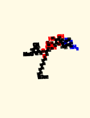 CCCCCCCCCCCCCCCCCCOC[C@H](COP(=O)(O)OC[C@H]1O[C@@](C)(c2ccc3c(N)ncnn23)[C@H](O)[C@@H]1O)OCc1cc(C#N)cc(OC)c1